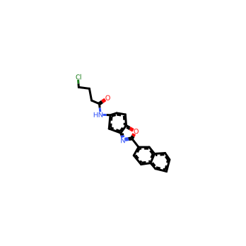 O=C(CCCCl)Nc1ccc2oc(-c3ccc4ccccc4c3)nc2c1